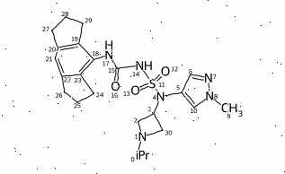 CC(C)N1CC(N(c2cnn(C)c2)S(=O)(=O)NC(=O)Nc2c3c(cc4c2CCC4)CCC3)C1